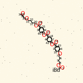 CCC(C)C(=O)OCCCCOc1ccc(C(=O)Oc2ccc(C(=O)Oc3ccc(C(=O)OCCCCOCC4CO4)cc3)cc2)cc1